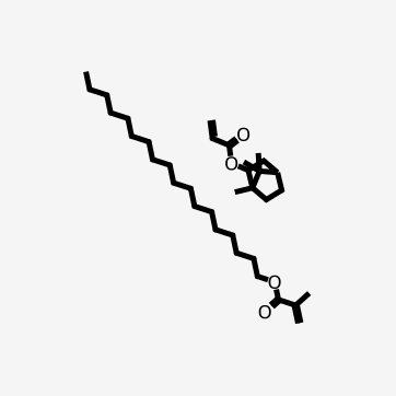 C=C(C)C(=O)OCCCCCCCCCCCCCCCCCC.C=CC(=O)OC1CC2CCC1(C)C2(C)C